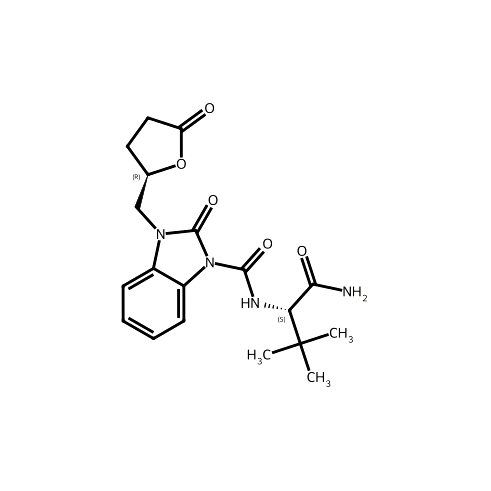 CC(C)(C)[C@H](NC(=O)n1c(=O)n(C[C@H]2CCC(=O)O2)c2ccccc21)C(N)=O